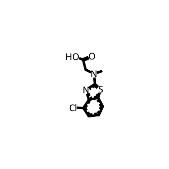 CN(CC(=O)O)c1nc2c(Cl)cccc2s1